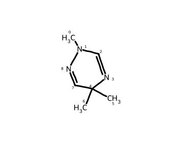 CN1C=NC(C)(C)C=N1